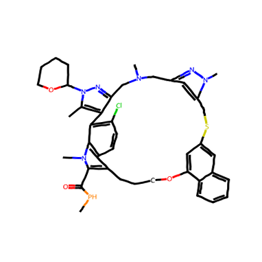 CPC(=O)c1c2c3ccc(Cl)c(c3n1C)-c1c(nn(C3CCCCO3)c1C)CN(C)Cc1cc(n(C)n1)CSc1cc(c3ccccc3c1)OCCC2